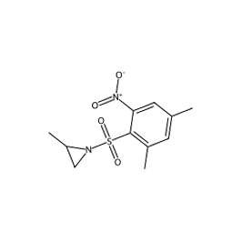 Cc1cc(C)c(S(=O)(=O)N2CC2C)c([N+](=O)[O-])c1